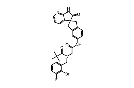 CC(C)(C)C(=O)N(CC(=O)Nc1ccc2c(c1)CC1(C2)C(=O)Nc2ncccc21)Cc1cccc(F)c1Br